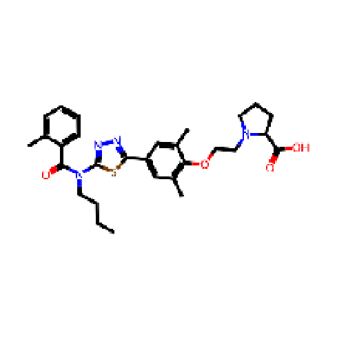 CCCCN(C(=O)c1ccccc1C)c1nnc(-c2cc(C)c(OCCN3CCCC3C(=O)O)c(C)c2)s1